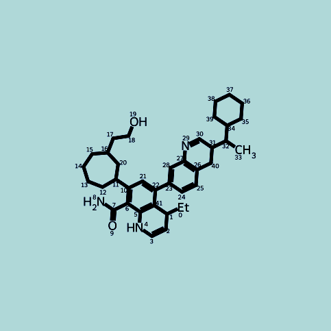 CCC1C=CNc2c(C(N)=O)c(C3CCCCC(CCO)C3)cc(-c3ccc4c(c3)N=CC(C(C)C3CCCCC3)C4)c21